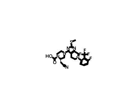 CSc1nc2c(c(N3CCN(C(=O)O)[C@@H](CC#N)C3)n1)CCN(c1cccc(F)c1C(F)(F)F)C2